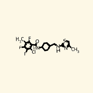 Cc1csc(NCC2CCC(NC(=O)c3c(F)c(C)c(F)c(F)c3Cl)CC2)n1